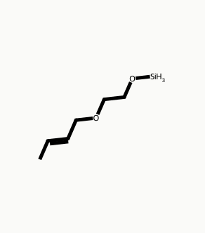 CC=CCOCCO[SiH3]